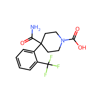 NC(=O)C1(c2ccccc2C(F)(F)F)CCN(C(=O)O)CC1